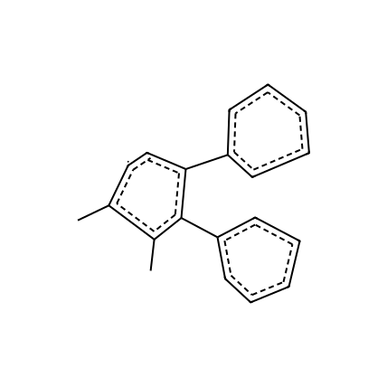 Cc1[c]cc(-c2ccccc2)c(-c2ccccc2)c1C